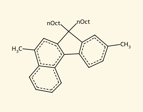 CCCCCCCCC1(CCCCCCCC)c2cc(C)ccc2-c2c1cc(C)c1ccccc21